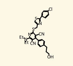 CCN(CC)c1nc(SCc2csc(-c3ccc(Cl)cc3)n2)c(C#N)c(-c2ccc(CCCO)cc2)c1C#N